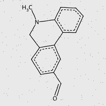 CN1Cc2ccc(C=O)cc2-c2ccccc21